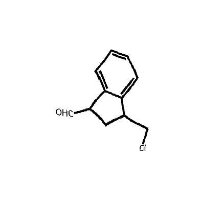 O=CC1CC(CCl)c2ccccc21